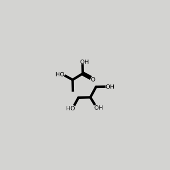 CC(O)C(=O)O.OCC(O)CO